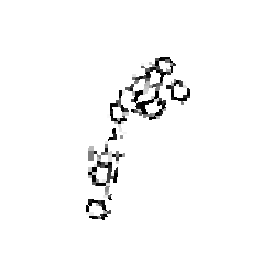 Cn1c(COc2ccc(CC3SC(=O)N(C(c4ccccc4)(c4ccccc4)c4ccccc4)C3=O)cc2)nc2ccc(Sc3ccccc3)nc21